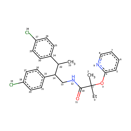 CCC(C)(Oc1ccccn1)C(=O)NCC(c1ccc(Cl)cc1)C(C)c1ccc(Cl)cc1